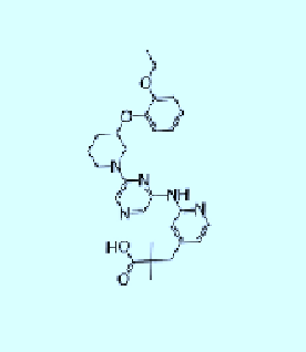 CCOc1ccccc1OC1CCCN(c2cncc(Nc3cc(CC(C)(C)C(=O)O)ccn3)n2)C1